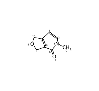 Cn1ccc2c(c1=O)COC2